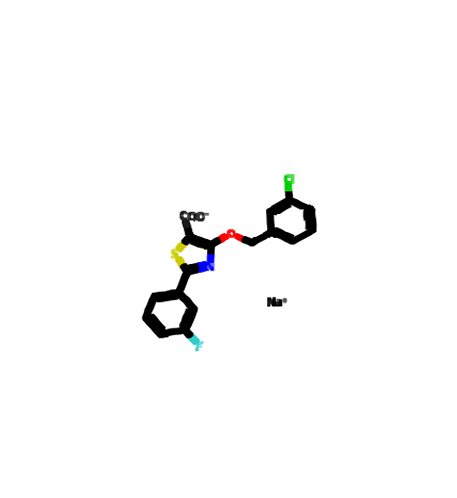 O=C([O-])c1sc(-c2cccc(F)c2)nc1OCc1cccc(Cl)c1.[Na+]